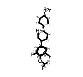 CCC[C@H]1CC[C@H]([Si@H]2CC[C@H](c3cc(F)c(OC(F)F)c(F)c3)CC2)CC1